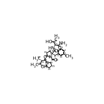 Cc1cccc(C[C@]2(C(=O)N[C@H](C(N)=O)[C@@H](C)O)CCCN2C(=O)[C@@H]2CCCN2C(=O)[C@@H](C)[C@@H](C)O)c1